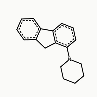 c1ccc2c(c1)Cc1c-2cccc1N1CCCCC1